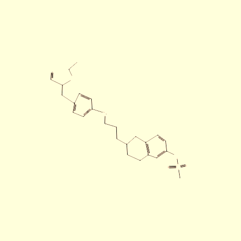 CCOC(C=O)Cc1ccc(NCCCC2CCc3cc(OS(C)(=O)=O)ccc3C2)cc1